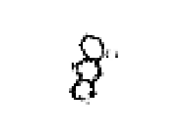 c1cc2nc3c(cc2cn1)NCCC3